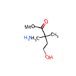 COC(=O)C(C)(C)CCO.N